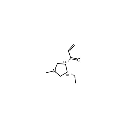 C=CC(=O)[C@H]1CN(C)C[C@H]1CC